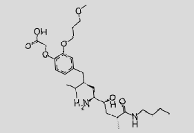 CCCCNC(=O)[C@H](C)C[C@H](O)[C@@H](N)C[C@H](Cc1ccc(OCC(=O)O)c(OCCCOC)c1)C(C)C